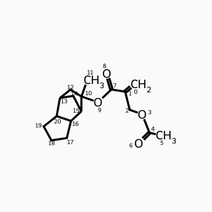 C=C(COC(C)=O)C(=O)OC1(C)CC2CC1C1CCCC21